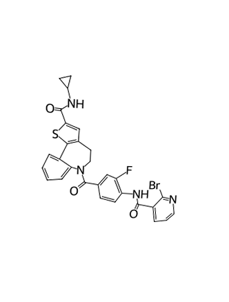 O=C(NC1CC1)c1cc2c(s1)-c1ccccc1N(C(=O)c1ccc(NC(=O)c3cccnc3Br)c(F)c1)CC2